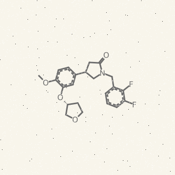 COc1ccc(C2CC(=O)N(Cc3cccc(F)c3F)C2)cc1O[C@@H]1CCOC1